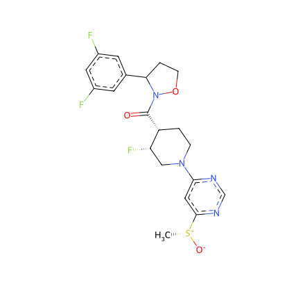 C[S@@+]([O-])c1cc(N2CC[C@@H](C(=O)N3OCCC3c3cc(F)cc(F)c3)[C@@H](F)C2)ncn1